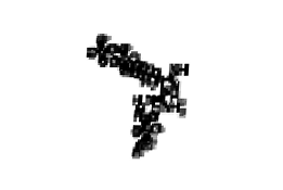 N=C(N)N.N=C(N)N.O.O.O.O.O.O.O=S(=O)([O-])[O-].O=S(=O)([O-])[O-].O=S(=O)([O-])[O-].[Al+3].[Al+3]